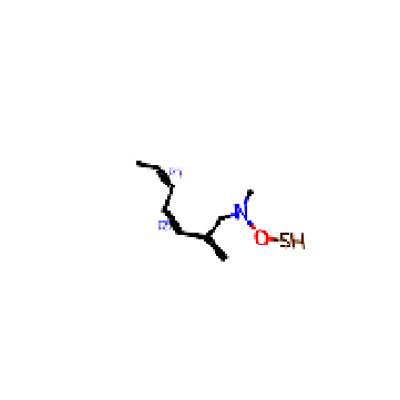 C=C(/C=C\C=C/C)CN(C)OS